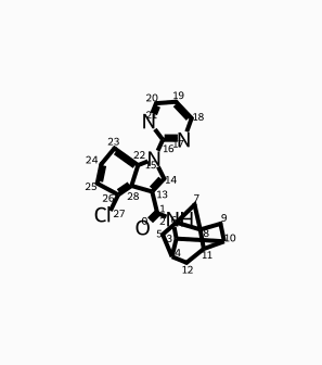 O=C(NC1C2CC3CC34CC1C4C2)c1cn(-c2ncccn2)c2cccc(Cl)c12